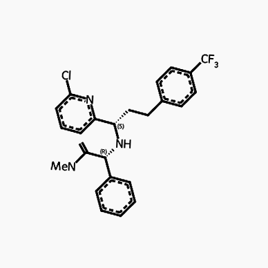 C=C(NC)[C@H](N[C@@H](CCc1ccc(C(F)(F)F)cc1)c1cccc(Cl)n1)c1ccccc1